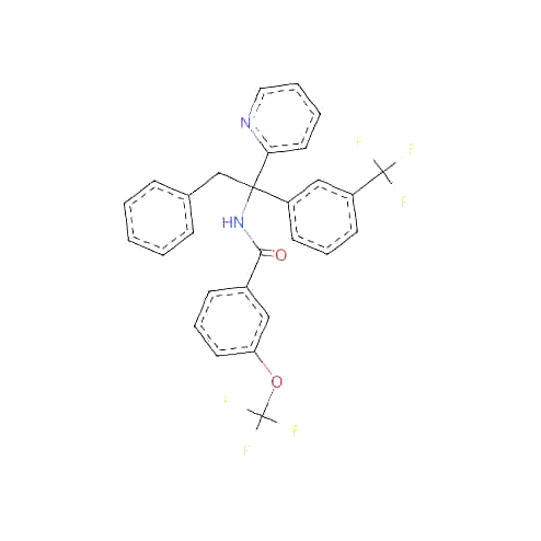 O=C(NC(Cc1ccccc1)(c1cccc(C(F)(F)F)c1)c1ccccn1)c1cccc(OC(F)(F)F)c1